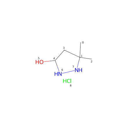 CC1(C)CC(O)NN1.Cl